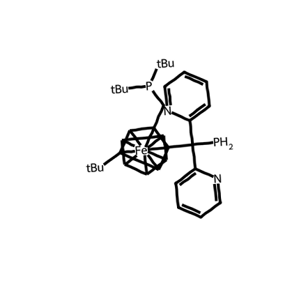 CC(C)(C)P(C[C]12[CH]3[C]4(C(C)(C)C)[CH]5[C]1(C(P)(c1ccccn1)c1ccccn1)[Fe]35241678[CH]2[CH]1[CH]6[CH]7[CH]28)C(C)(C)C